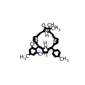 Cc1ccc(/C2=c3\cc/c([nH]3)=C(\c3c(C)cc(C)cc3C)C3=N/C(=C\C4NC(/C=C5/C=CC2=N5)C(C)(C)C4=O)C=C3)cc1